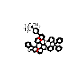 CC(C)(C)c1ccc(-c2ccc(N(c3cccc4c3-c3ccccc3C4(c3ccccc3)c3ccccc3)c3ccc4ccccc4c3-c3ccccc3-c3cccc4oc5ccccc5c34)cc2)cc1